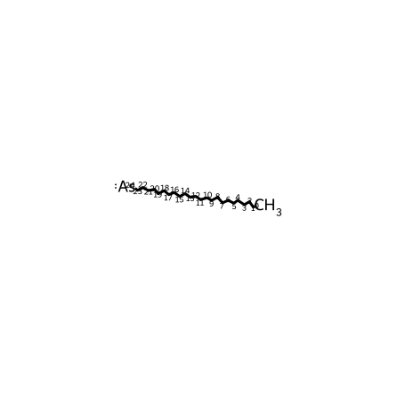 CCCCCCCCCCCCCCCCCCCCCCCC[As]